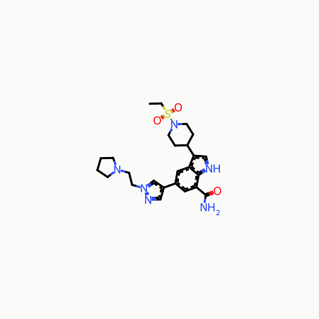 CCS(=O)(=O)N1CCC(c2c[nH]c3c(C(N)=O)cc(-c4cnn(CCN5CCCC5)c4)cc23)CC1